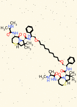 CN[C@@H](C)C(=O)N[C@H]1CCS[C@H]2CC(C)(C)[C@@H](C(=O)N[C@H](COCCCCCCCCCCOC[C@@H](NC(=O)[C@H]3N4C(=O)[C@@H](NC(=O)[C@H](C)NC)CCS[C@H]4CC3(C)C)c3ccccc3)c3ccccc3)N2C1=O